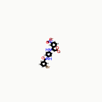 O=C(Nc1ccc(Nc2cc(=O)oc3ccc([N+](=O)[O-])cc23)cc1)c1cccc(Br)c1